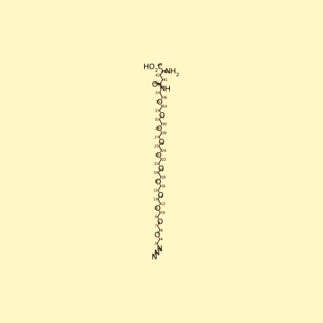 [N-]=[N+]=NCCOCCOCCOCCOCCOCCOCCOCCOCCOCCOCCOCCNC(=O)CCC(N)C(=O)O